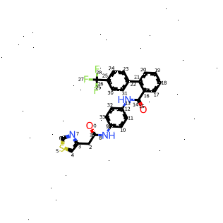 O=C(Cc1cscn1)Nc1ccc(NC(=O)c2ccccc2-c2ccc(C(F)(F)F)cc2)cc1